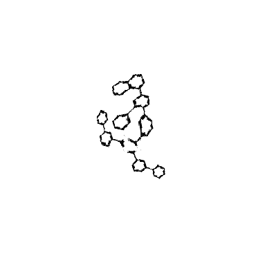 c1ccc(-c2cccc(-c3nc(-c4cccc(-c5ccccc5)c4)nc(-c4cccc(-c5ccc(-c6cccc7ccccc67)cc5-c5ccccc5)c4)n3)c2)cc1